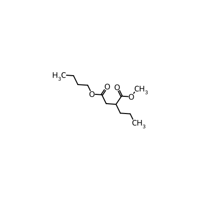 CCCCOC(=O)CC(CCC)C(=O)OC